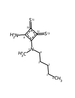 CCCCCN(C)c1c(N)c(=S)c1=S